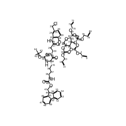 C=CCOC(=O)O[C@@H]1[C@@H](OC(=O)OCC=C)[C@H](Oc2ccc(CCl)cc2NC(=O)CCNC(=O)[C@H](CCCCNC(=O)OCC2c3ccccc3-c3ccccc32)NC(=O)OC(C)(C)C)O[C@H](C(=O)OCC=C)[C@H]1OC(=O)OCC=C